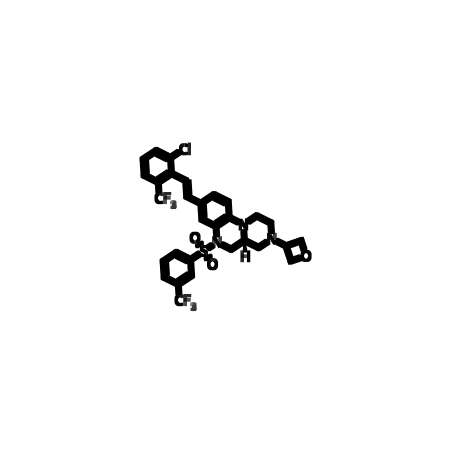 O=S(=O)(c1cccc(C(F)(F)F)c1)N1C[C@@H]2CN(C3COC3)CCN2c2ccc(/C=C/c3c(Cl)cccc3C(F)(F)F)cc21